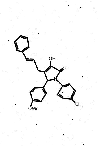 COc1ccc(C2C(CC=Cc3ccccc3)=C(O)C(=O)N2c2ccc(C)cc2)cc1